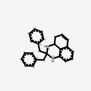 C1=Cc2cccc3c2C(C1)NC(Cc1ccccc1)(Cc1ccccc1)N3